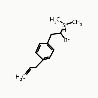 C=CCc1ccc(CC(Br)[SiH](C)C)cc1